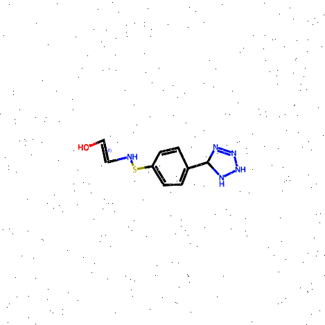 O/C=C/NSc1ccc(C2N=NNN2)cc1